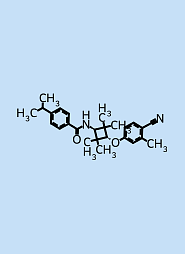 Cc1cc(O[C@H]2C(C)(C)[C@H](NC(=O)c3ccc(C(C)C)cc3)C2(C)C)ccc1C#N